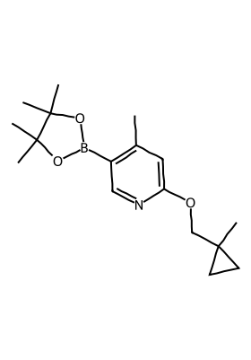 Cc1cc(OCC2(C)CC2)ncc1B1OC(C)(C)C(C)(C)O1